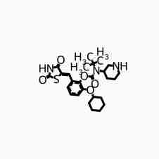 CC(C)(C)N(C(=O)Oc1c(C=C2SC(=O)NC2=O)cccc1OC1CCCCC1)C1CCCNC1